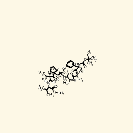 COC(=O)[C@@H](NC(=O)[C@](N)(C(=O)C1([PH](=O)C(C)(NC(=O)[C@H](C)NC(=O)[C@H](C)NC(=O)[C@](CO)(NC(=O)OC(C)(C)C)c2ccccc2)OC)CCCC1)C(C)C)C(C)C